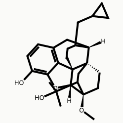 CO[C@]12CC[C@@]3(CC1C(C)(C)O)[C@H]1Cc4ccc(O)c5c4[C@@]3(CCC1CC1CC1)[C@H]2O5